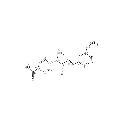 COc1cccc(/C=C/C(=O)C(N)c2ccc(C(=O)O)cc2)c1